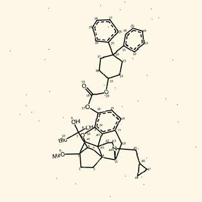 COC12CCC3(CC1C(C)(O)C(C)(C)C)C1Cc4ccc(OC(=O)OC5CCC(c6ccccc6)(c6ccccc6)CC5)c5c4C3(CCN1CC1CC1)C2O5